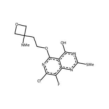 CNC1(CCOc2nc(Cl)c(F)c3nc(SC)nc(O)c23)COC1